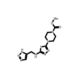 CC(C)(C)OC(=O)N1CCN(c2nnc(NCc3cnn[nH]3)s2)CC1